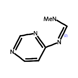 CN/C=N\c1ccncn1